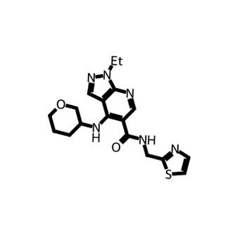 CCn1ncc2c(NC3CCCOC3)c(C(=O)NCc3nccs3)cnc21